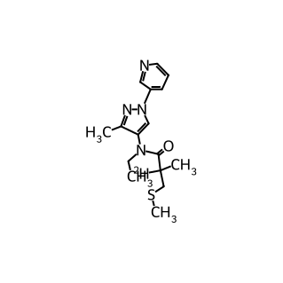 [2H]C(C)(CSC)C(=O)N(CC)c1cn(-c2cccnc2)nc1C